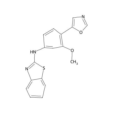 COc1cc(Nc2nc3ccccc3s2)ccc1-c1cnco1